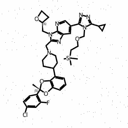 C[C@]1(c2ccc(Cl)cc2F)Oc2cccc(C3CCN(Cc4nc5cc(-c6nnc(C7CC7)n6COCC[Si](C)(C)C)cnc5n4C[C@@H]4CCO4)CC3)c2O1